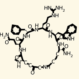 CN[C@H]1CCC(=O)CNCCCC[C@@H](C(N)=O)NC(=O)[C@H](Cc2c[nH]c3ccccc23)NC(=O)[C@H](CCCNC(=N)N)NC(=O)[C@@H](Cc2ccccc2)NC(=O)[C@H](CCC(N)=O)NC1=O